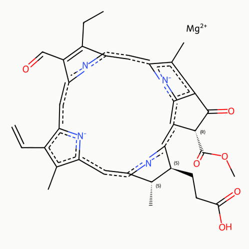 C=Cc1c(C)c2cc3nc(c4c5[n-]c(cc6nc(cc1[n-]2)C(C=O)=C6CC)c(C)c5C(=O)[C@@H]4C(=O)OC)[C@@H](CCC(=O)O)[C@@H]3C.[Mg+2]